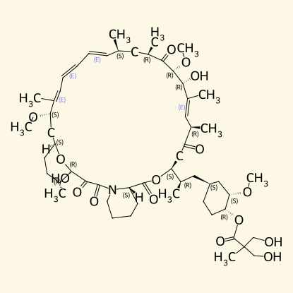 CO[C@H]1C[C@@H]2CC[C@@H](C)[C@@](O)(O2)C(=O)C(=O)N2CCCC[C@H]2C(=O)O[C@H]([C@H](C)C[C@@H]2CC[C@@H](OC(=O)C(C)(CO)CO)[C@@H](OC)C2)CC(=O)[C@H](C)/C=C(\C)[C@@H](O)[C@@H](OC)C(=O)[C@H](C)C[C@H](C)/C=C/C=C/C=C/1C